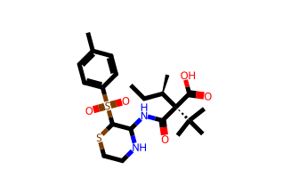 CC[C@@H](C)[C@@](C(=O)O)(C(=O)NC1NCCSC1S(=O)(=O)c1ccc(C)cc1)C(C)(C)C